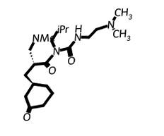 CNC[C@@H](C[C@H]1CCCC(=O)C1)C(=O)N(CC(C)C)C(=O)NCCN(C)C